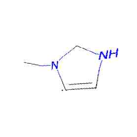 CN1[C]=CNC1